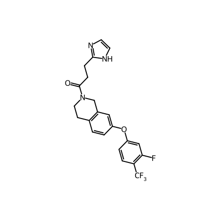 O=C(CCc1ncc[nH]1)N1CCc2ccc(Oc3ccc(C(F)(F)F)c(F)c3)cc2C1